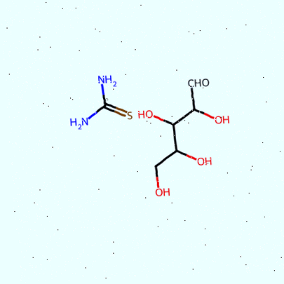 NC(N)=S.O=CC(O)C(O)C(O)CO